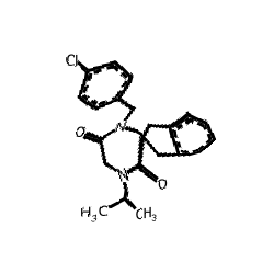 CC(C)N1CC(=O)N(Cc2ccc(Cl)cc2)C2(Cc3ccccc3C2)C1=O